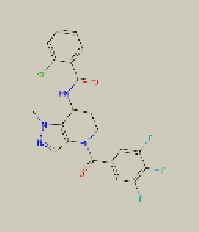 Cn1ncc2c1C(NC(=O)c1ccccc1Cl)CCN2C(=O)c1cc(F)c(F)c(F)c1